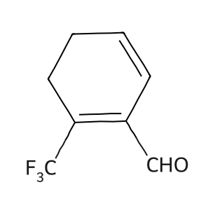 O=CC1=C(C(F)(F)F)CCC=C1